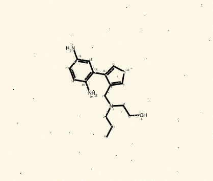 CCCN(CCO)Cc1cscc1-c1cc(N)ccc1N